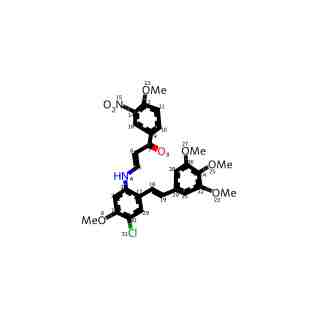 COc1cc(NC=CC(=O)c2ccc(OC)c([N+](=O)[O-])c2)c(C=Cc2cc(OC)c(OC)c(OC)c2)cc1Cl